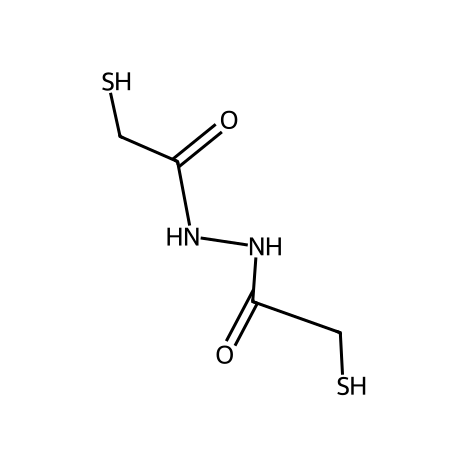 O=C(CS)NNC(=O)CS